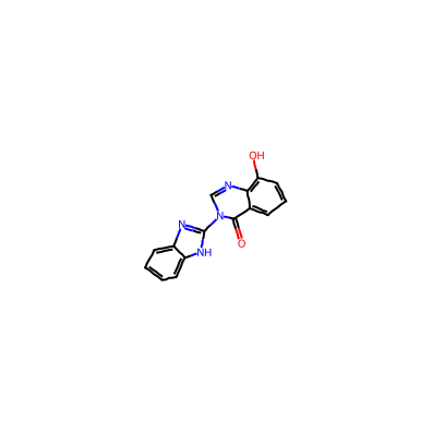 O=c1c2cccc(O)c2ncn1-c1nc2ccccc2[nH]1